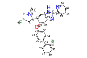 CC(=O)N1C[C@@H](F)C[C@H]1c1cc2[nH]c(-c3ccccn3)nc2cc1Oc1ccc(-c2ccccc2F)cc1